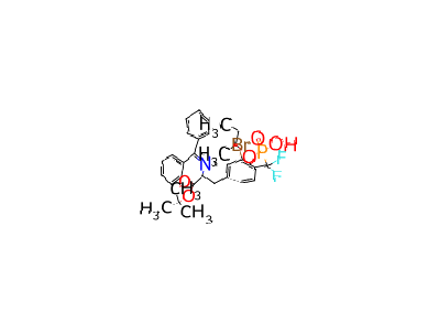 CCC(C)OP(=O)(O)C(F)(F)c1ccc(CC(N=C(c2ccccc2)c2ccccc2)C(=O)OC(C)(C)C)cc1Br